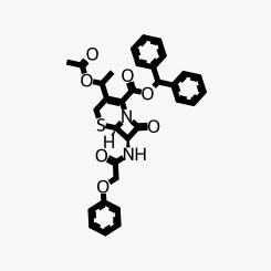 CC(=O)OC(C)C1=C(C(=O)OC(c2ccccc2)c2ccccc2)N2C(=O)[C@@H](NC(=O)COc3ccccc3)[C@H]2SC1